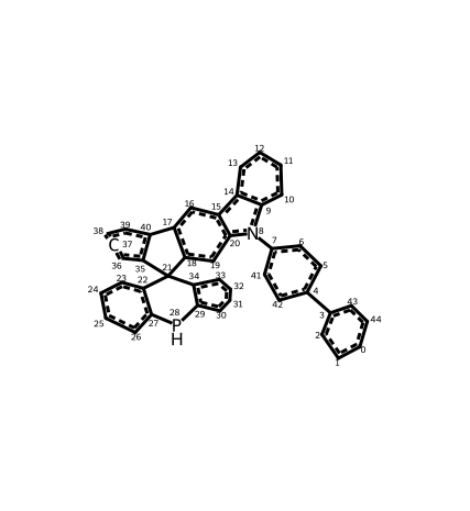 c1ccc(-c2ccc(-n3c4ccccc4c4cc5c(cc43)C3(c4ccccc4Pc4ccccc43)c3ccccc3-5)cc2)cc1